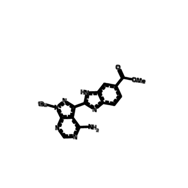 COC(=O)c1ccc2nc(-c3nn(C(C)(C)C)c4ncnc(N)c34)[nH]c2c1